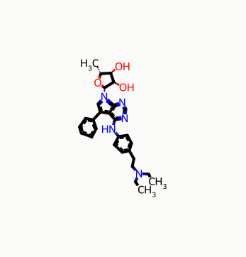 CCN(CC)CCc1ccc(Nc2ncnc3c2c(-c2ccccc2)cn3[C@@H]2O[C@H](C)[C@@H](O)[C@H]2O)cc1